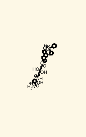 COc1ccc(NC(=O)CCC(O)C(O)CCC(=O)OC2CCC3C4CCc5cc(OP(=O)(OCc6ccccc6)OCc6ccccc6)ccc5C4CCC23C)c(O)c1C(N)=O